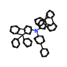 c1ccc(-c2ccc(N(c3ccc4c(c3)-c3c5cccc3-c3cccc-4c3-c3ccccc3-5)c3ccc4c(c3)C(c3ccccc3)(c3ccccc3)c3ccccc3-4)cc2)cc1